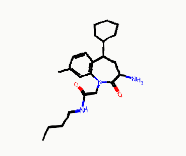 CCCCNC(=O)CN1C(=O)C(N)CC(C2CCCCC2)c2ccc(C)cc21